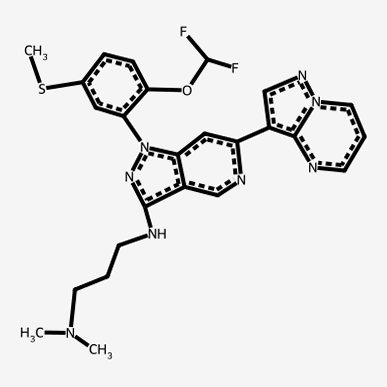 CSc1ccc(OC(F)F)c(-n2nc(NCCCN(C)C)c3cnc(-c4cnn5cccnc45)cc32)c1